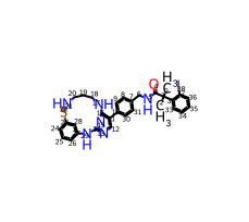 CC(C)(C(=O)NCc1ccc(-c2cnc3nc2NCCCNSc2cccc(c2)N3)cc1)c1ccccc1I